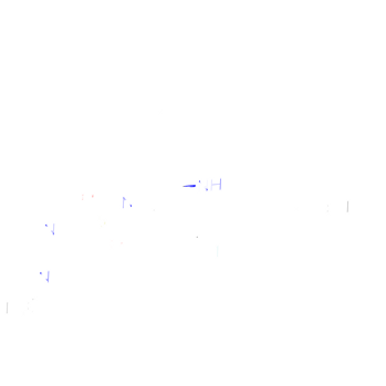 Cc1ccc(C(N[C@H]2CN(S(=O)(=O)c3cn(C)cn3)C[C@@H]2c2ccc(F)cc2)C(F)(F)F)cc1